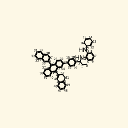 CCC(Nc1ccccc1NC1C=CC=CC1)c1ccc(-c2ccc3c(-c4ccc5ccccc5c4)c4ccccc4c(C4=Cc5ccccc5CC4)c3c2)cc1